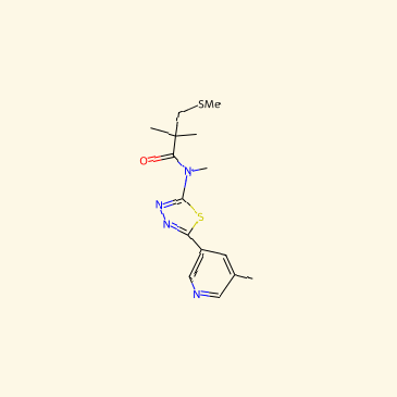 CSCC(C)(C)C(=O)N(C)c1nnc(-c2cncc(C)c2)s1